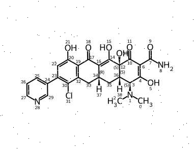 CN(C)[C@@H]1C(O)=C(C(N)=O)C(=O)[C@@]2(O)C(O)=C3C(=O)c4c(O)cc(-c5cccnc5)c(Cl)c4C[C@H]3C[C@@H]12